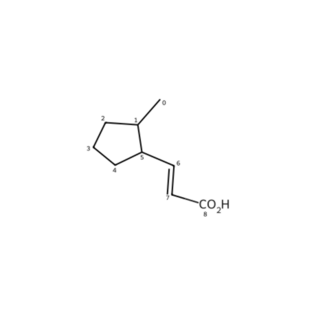 CC1CCCC1C=CC(=O)O